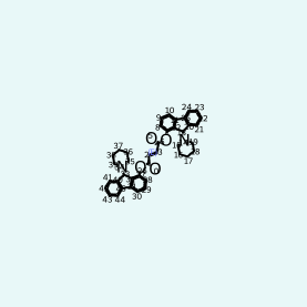 O=C(/C=C/C(=O)Oc1cccc2c1C(N1CCCCC1)c1ccccc1-2)Oc1cccc2c1C(N1CCCCC1)c1ccccc1-2